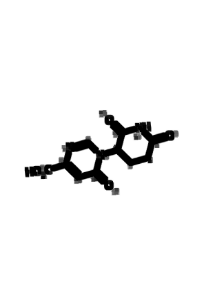 O=C1CCC(n2cnc(C(=O)O)cc2=O)C(=O)N1